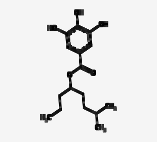 CCCC(CCC(C)C)OC(=O)c1cc(O)c(O)c(O)c1